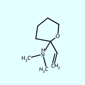 C=[C]C1([SiH](C)C)CCCCO1